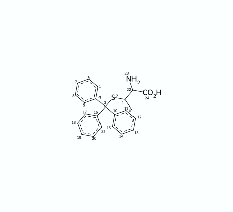 CC(SC(c1ccccc1)(c1ccccc1)c1ccccc1)C(N)C(=O)O